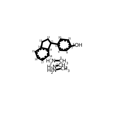 CN.CN.CN.Oc1ccc(C2CCc3ccccc32)cc1